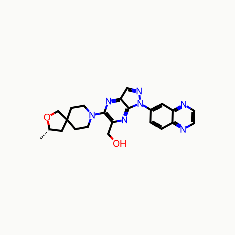 C[C@H]1CC2(CCN(c3nc4cnn(-c5ccc6nccnc6c5)c4nc3CO)CC2)CO1